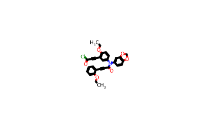 CCOc1ccccc1C#CC(=O)N(c1ccc(OCC)c(C#CC(=O)Cl)c1)c1ccc2c(c1)OCO2